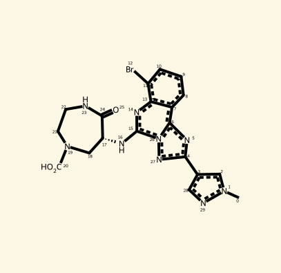 Cn1cc(-c2nc3c4cccc(Br)c4nc(N[C@@H]4CN(C(=O)O)CCNC4=O)n3n2)cn1